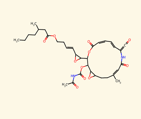 CCCCC(C)CC(=O)OCC/C=C/C1OC1C1OC(=O)/C=C\C=C\C(=C=O)NC(=O)/C=C(/C)CCC2OC2C1OC(=O)NC(C)=O